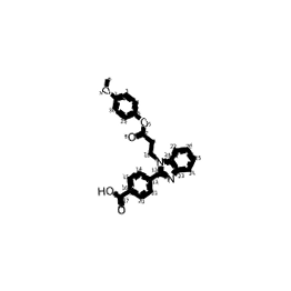 COc1ccc(OC(=O)CCn2c(-c3ccc(C(=O)O)cc3)nc3ccccc32)cc1